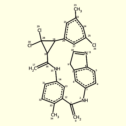 C=C(Nc1ccc2c(c1)CC=N2)c1cc(NC(=C)C2C(c3cc(C)cc(Cl)c3)C2(Cl)Cl)ccc1C